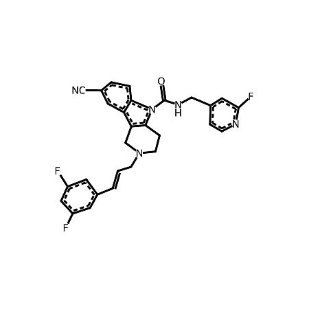 N#Cc1ccc2c(c1)c1c(n2C(=O)NCc2ccnc(F)c2)CCN(CC=Cc2cc(F)cc(F)c2)C1